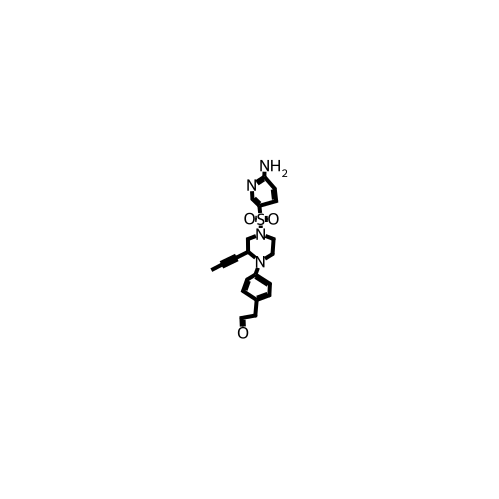 CC#CC1CN(S(=O)(=O)c2ccc(N)nc2)CCN1c1ccc(CC=O)cc1